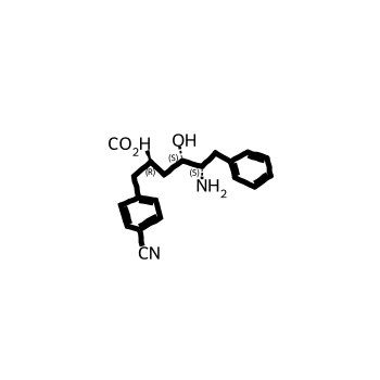 N#Cc1ccc(C[C@H](C[C@H](O)[C@@H](N)Cc2ccccc2)C(=O)O)cc1